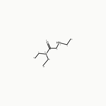 CCNCC(=O)N(CC)CC